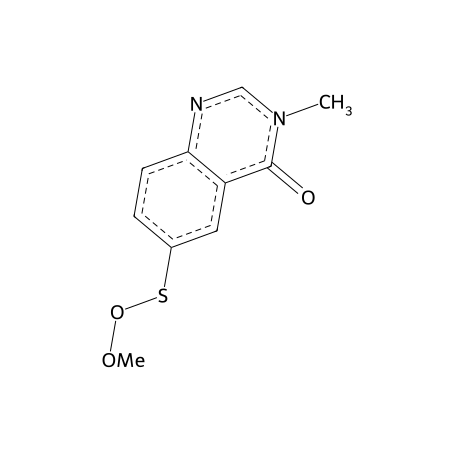 COOSc1ccc2ncn(C)c(=O)c2c1